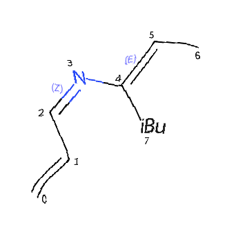 C=C/C=N\C(=C\C)C(C)CC